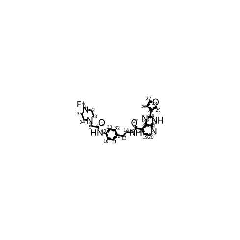 CCN1CCN(CC(=O)Nc2ccc(CCNC(=O)c3ccnc4[nH]c(-c5ccoc5)nc34)cc2)CC1